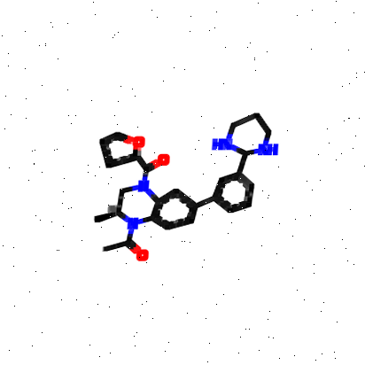 CC(=O)N1c2ccc(-c3cccc(C4NCCCN4)c3)cc2N(C(=O)c2ccco2)C[C@@H]1C